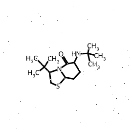 CC(C)(C)NC1CCC2SCC(C(C)(C)C)N2C1=O